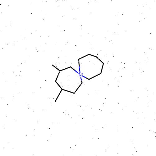 CC1CC[N+]2(CCCCCC2)CC(C)C1